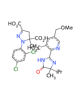 CC1(C(=O)O)CC(C(=O)O)=NN1c1ccc(Cl)cc1Cl.COCc1cnc(C2=NC(C)(C(C)C)C(=O)N2)c(C(=O)O)c1